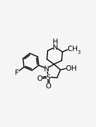 CC1CC2(CCN1)C(O)CS(=O)(=O)N2c1cccc(F)c1